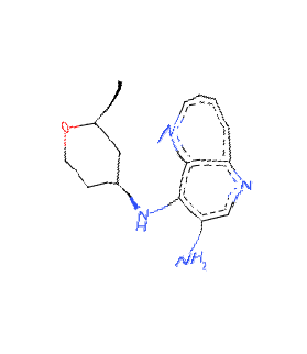 C[C@H]1C[C@@H](Nc2c(N)cnc3cccnc23)CCO1